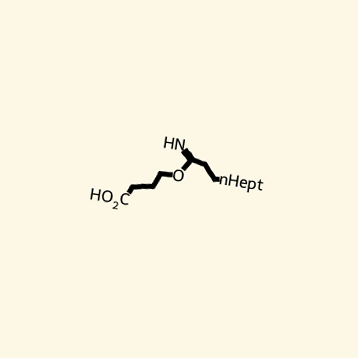 CCCCCCCCCC(=N)OCCCC(=O)O